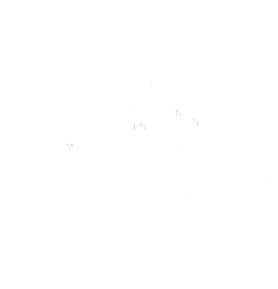 COc1cccc2cc(C(=O)Nc3nnc(-c4cc(Cl)sc4Cl)o3)oc12